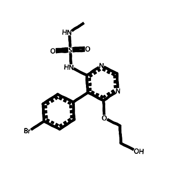 CNS(=O)(=O)Nc1ncnc(OCCO)c1-c1ccc(Br)cc1